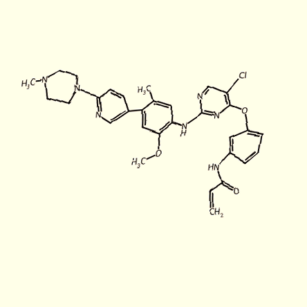 C=CC(=O)Nc1cccc(Oc2nc(Nc3cc(C)c(-c4ccc(N5CCN(C)CC5)nc4)cc3OC)ncc2Cl)c1